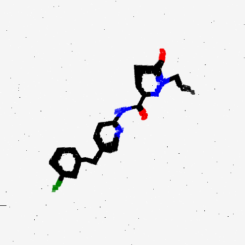 CCn1nc(C(=O)Nc2ccc(Cc3cccc(F)c3)cn2)ccc1=O